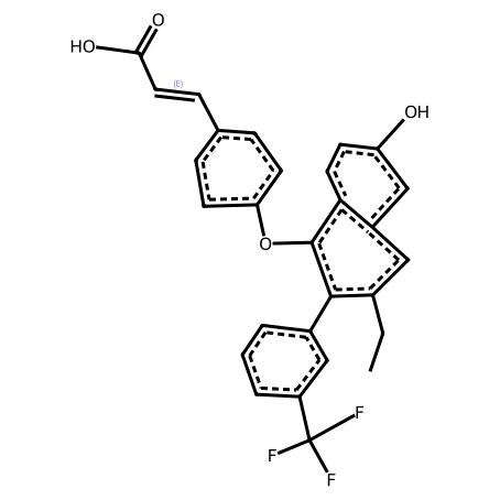 CCc1cc2cc(O)ccc2c(Oc2ccc(/C=C/C(=O)O)cc2)c1-c1cccc(C(F)(F)F)c1